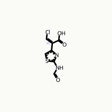 O=CNc1nc(/C(=C/Cl)C(=O)O)cs1